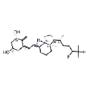 C=C1/C(=C\C=C2/CCC[C@]3(C)[C@@H]([C@H](C)CCC(F)C(C)(C)F)CC[C@@H]23)C[C@@H](O)C[C@@H]1O